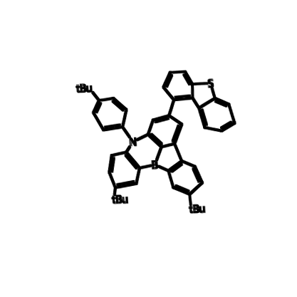 CC(C)(C)c1ccc(N2c3ccc(C(C)(C)C)cc3B3c4cc(C(C)(C)C)ccc4-c4cc(-c5cccc6sc7ccccc7c56)cc2c43)cc1